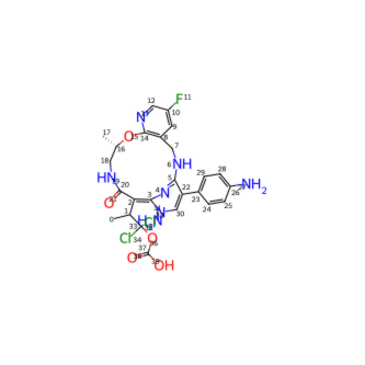 CC(/C1=C2/N=C(NCc3cc(F)cnc3O[C@@H](C)CNC1=O)C(c1ccc(N)cc1)=CN2N)C(Cl)(Cl)OC(=O)O